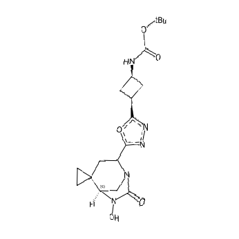 CC(C)(C)OC(=O)N[C@H]1C[C@@H](c2nnc(C3CC4(CC4)[C@H]4CN3C(=O)N4O)o2)C1